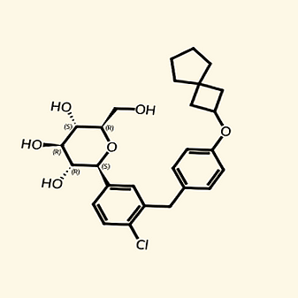 OC[C@H]1O[C@@H](c2ccc(Cl)c(Cc3ccc(OC4CC5(CCCC5)C4)cc3)c2)[C@H](O)[C@@H](O)[C@@H]1O